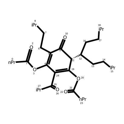 CCCC(=O)OC1=C(CCC(C)C)C(=O)[C@H](C(CCC(C)C)CCC(C)C)C(OC(=O)CCC)=C1C(=O)C(C)C